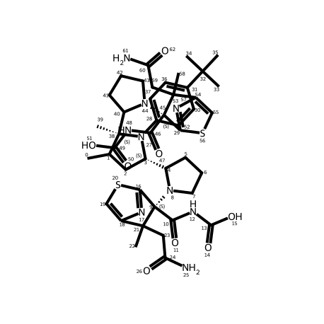 CC1C[C@@H](C2CCCN2[C@@]2(C(=O)NC(=O)O)c3nc(cs3)C2(C)CC(N)=O)N(c2ccc(C(C)(C)C)cc2)[C@]1(C)C1CCCN1[C@@]1(C(=O)NC(=O)O)c2nc(cs2)C1(C)CC(N)=O